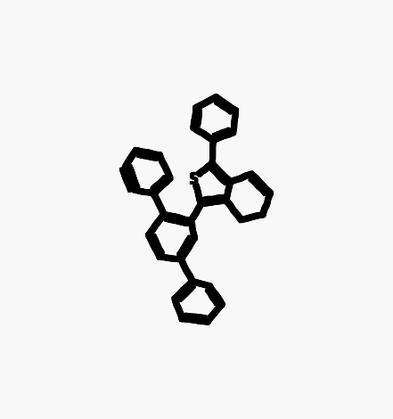 c1cccc(-c2ccc(-c3ccccc3)cc2-c2sc(-c3ccccc3)c3c2CCC=C3)c#1